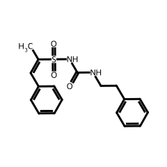 CC(=Cc1ccccc1)S(=O)(=O)NC(=O)NCCc1ccccc1